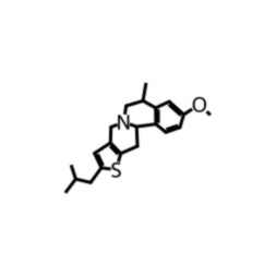 COc1ccc2c(c1)C(C)CN1Cc3cc(CC(C)C)sc3CC21